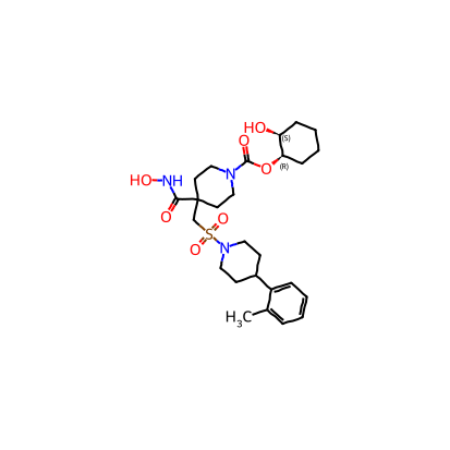 Cc1ccccc1C1CCN(S(=O)(=O)CC2(C(=O)NO)CCN(C(=O)O[C@@H]3CCCC[C@@H]3O)CC2)CC1